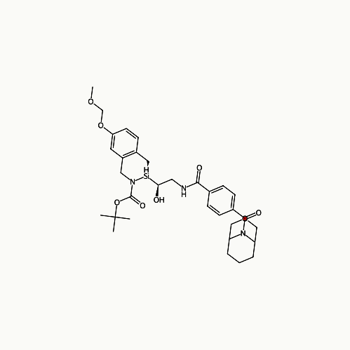 COCOc1ccc2c(c1)CN(C(=O)OC(C)(C)C)[Si@H]([C@H](O)CNC(=O)c1ccc(C(=O)N3C4CCCC3COC4)cc1)C2